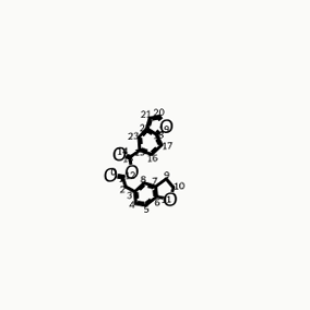 O=C(Cc1ccc2c(c1)CCO2)OC(=O)c1ccc2occc2c1